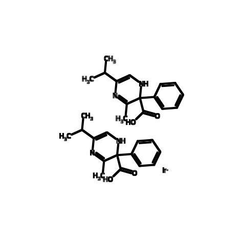 CC1=NC(C(C)C)=CNC1(C(=O)O)c1ccccc1.CC1=NC(C(C)C)=CNC1(C(=O)O)c1ccccc1.[Ir]